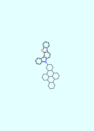 c1ccc2c(c1)oc1c2ccc2c1c1ccccc1n2C1CCC2C(C1)C1CCCC3C4CCCCC4C4CCCC2C4C31